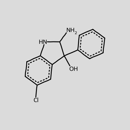 NC1Nc2ccc(Cl)cc2C1(O)c1ccccc1